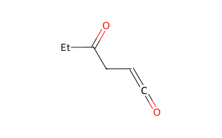 CCC(=O)CC=C=O